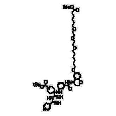 COC(=O)CCCCCOCCOCCOCCCCCCOc1ccc2c(c1)[C@@H](NC(=O)c1cccc(NC3(C(=N)NC(=N)c4ccncc4)CCN(C(=O)OC(C)(C)C)CC3)c1)CCO2